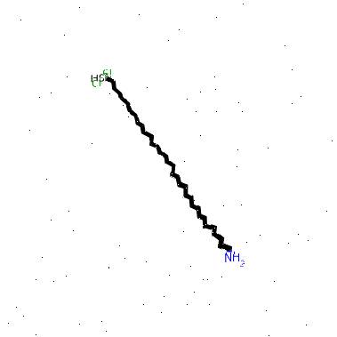 NCCCCCCCCCCCCCCCCCCCCCCCCCCCCCCCCC[SiH](Cl)Cl